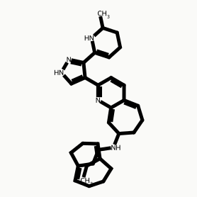 CC/C1=C\CC/C(CCNC2C=c3nc(-c4c[nH]nc4C4=CCCC(C)N4)ccc3=CCC2)=C/CCC1